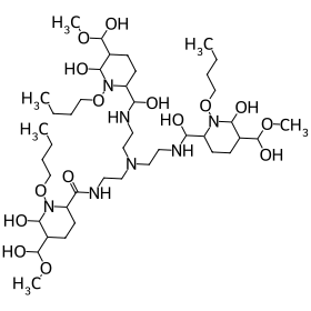 CCCCON1C(C(=O)NCCN(CCNC(O)C2CCC(C(O)OC)C(O)N2OCCCC)CCNC(O)C2CCC(C(O)OC)C(O)N2OCCCC)CCC(C(O)OC)C1O